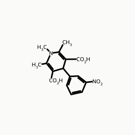 CC1=C(C(=O)O)C(c2cccc([N+](=O)[O-])c2)C(C(=O)O)=C(C)N1C